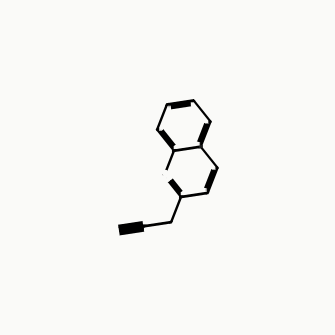 C#CCc1ccc2ccccc2n1